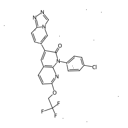 O=c1c(-c2ccc3nncn3c2)cc2ccc(OCC(F)(F)F)nc2n1-c1ccc(Cl)cc1